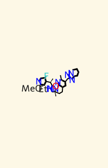 CCN(C[C@@]1(C)CCc2cc(-c3nc4ccccn4n3)c(C)nc2N1)C(=O)[C@H](C)c1cc(OC)ncc1F